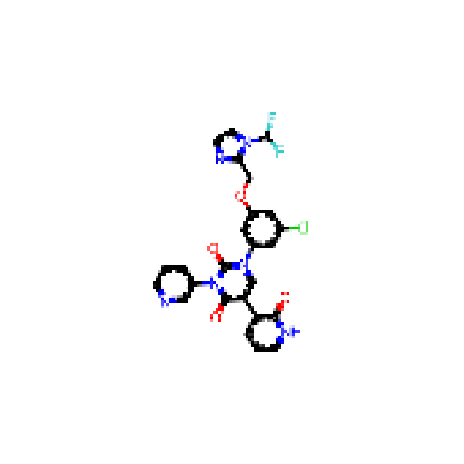 O=c1[nH]cccc1-c1cn(-c2cc(Cl)cc(OCc3nccn3C(F)F)c2)c(=O)n(-c2cccnc2)c1=O